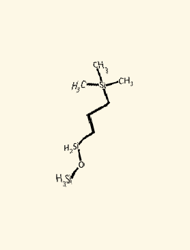 C[Si](C)(C)CCC[SiH2]O[SiH3]